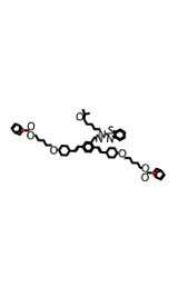 CC1(C)OC1CCCCN(/N=C/c1cc(/C=C/C2CCC(OCCCCCOC(=O)C3CC4C=CC3C4)CC2)ccc1/C=C/C1CCC(OCCCCCOC(=O)C2CC3C=CC2C3)CC1)c1nc2ccccc2s1